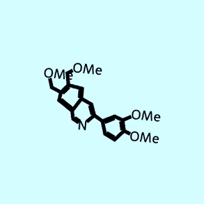 COCc1cc2cnc(-c3ccc(OC)c(OC)c3)cc2cc1COC